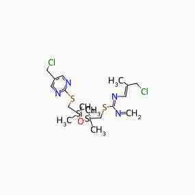 C=N/C(=N\C=C(/C)CCl)SC[Si](C)(C)O[Si](C)(C)CSc1ncc(CCl)cn1